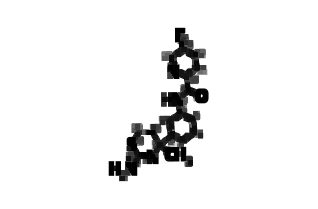 CC1(c2cccc(NC(=O)c3ccc(F)cn3)c2)CCSC(N)=N1